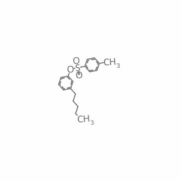 CCCCCc1cccc(OS(=O)(=O)c2ccc(C)cc2)c1